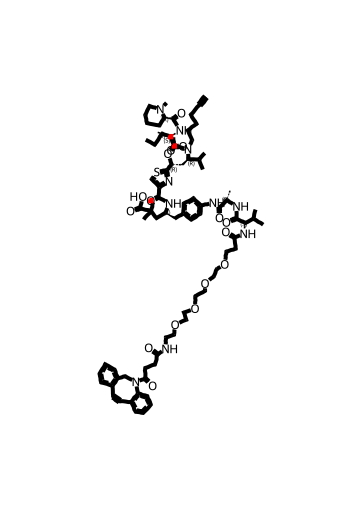 C#CCCCCN(C(=O)[C@@H](NC(=O)[C@H]1CCCCN1C)[C@@H](C)CC)[C@H](C[C@@H](OC(C)=O)c1nc(C(=O)N[C@@H](Cc2ccc(NC(=O)[C@H](C)NC(=O)[C@@H](NC(=O)CCOCCOCCOCCOCCNC(=O)CCC(=O)N3Cc4ccccc4C#Cc4ccccc43)C(C)C)cc2)CC(C)(C)C(=O)O)cs1)C(C)C